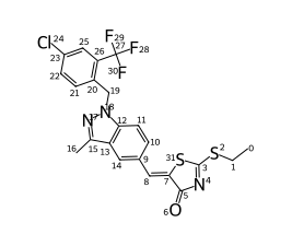 CCSC1=NC(=O)/C(=C/c2ccc3c(c2)c(C)nn3Cc2ccc(Cl)cc2C(F)(F)F)S1